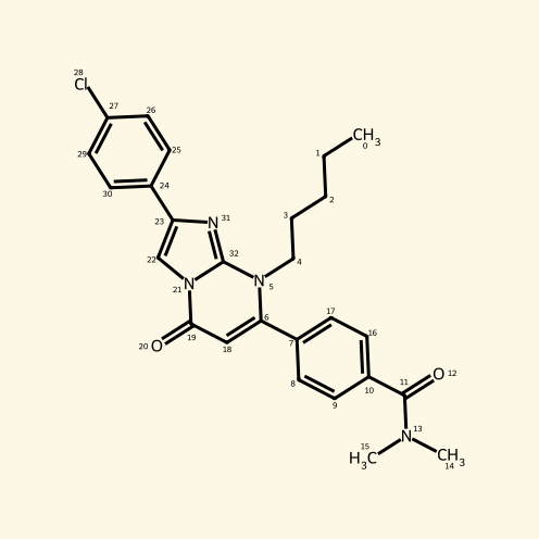 CCCCCn1c(-c2ccc(C(=O)N(C)C)cc2)cc(=O)n2cc(-c3ccc(Cl)cc3)nc12